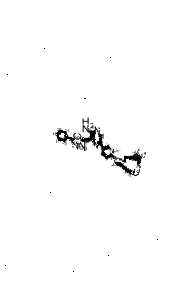 Nc1ncc(-c2ccc(N3CCOCC3)nc2)nc1-c1nnc(-c2ccccc2)o1